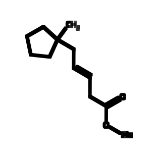 CC1(C/C=C/CC(=O)OC(C)(C)C)CCCC1